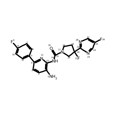 Nc1ccc(-c2ccc(F)cc2)nc1NC(=O)N1CCC(F)(c2ncc(F)cn2)C1